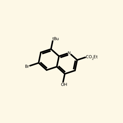 CCOC(=O)c1cc(O)c2cc(Br)cc(C(C)(C)C)c2n1